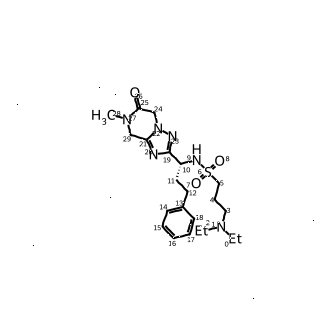 CCN(CC)CCCS(=O)(=O)N[C@H](CCc1ccccc1)c1nc2n(n1)CC(=O)N(C)C2